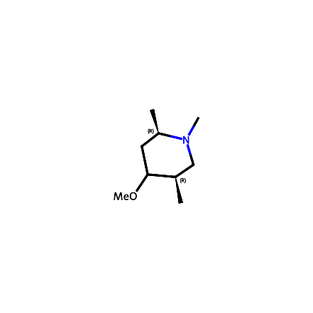 COC1C[C@@H](C)N(C)C[C@H]1C